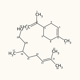 C=C(C)C1CC=C(C)CC1.CC(C)=CCCC(C)CCO